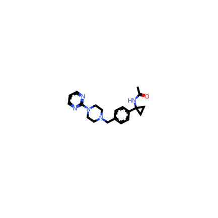 CC(=O)NC1(c2ccc(CN3CCN(c4ncccn4)CC3)cc2)CC1